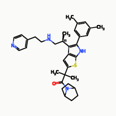 Cc1cc(C)cc(-c2[nH]c3sc(C(C)(C)C(=O)N4C5CCC4CC5)cc3c2[C@H](C)CNCCc2ccncc2)c1